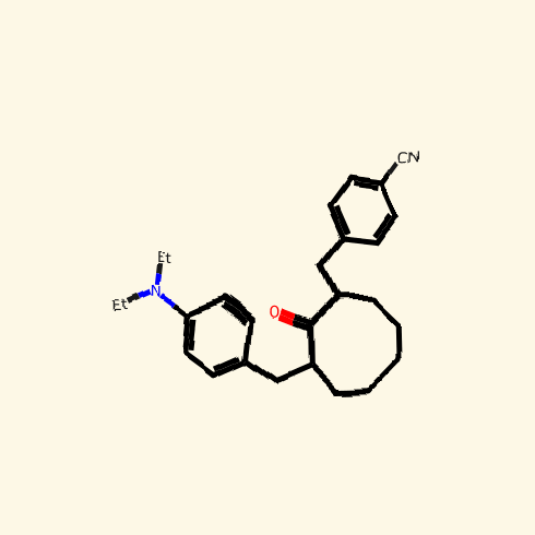 CCN(CC)c1ccc(CC2CCCCCC(Cc3ccc(C#N)cc3)C2=O)cc1